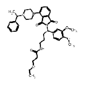 CCOCCC(=O)NCCC[C@H](c1ccc(OC)c(OC)c1)N1C(=O)c2cccc(N3CCN([C@H](C)c4ccccc4)CC3)c2C1=O